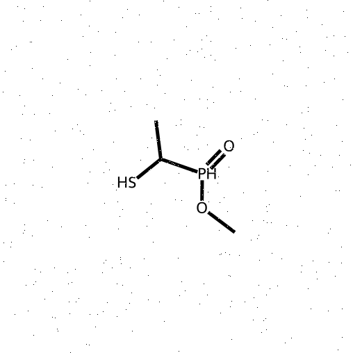 CO[PH](=O)C(C)S